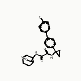 O=C(NC1CN2CCC1CC2)C(=O)NC1(c2ccc(-c3ccc(F)cc3)cc2)CC1